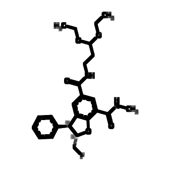 CCOC(CCNC(=O)c1cc(C(=O)NC)c2c(c1)[C@H](c1ccccc1)[C@@H](CF)O2)OCC